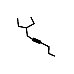 [CH2]CCC#CCC(CC)CC